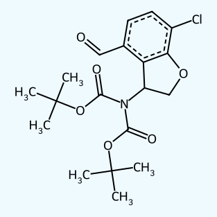 CC(C)(C)OC(=O)N(C(=O)OC(C)(C)C)C1COc2c(Cl)ccc(C=O)c21